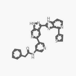 O=C(Cc1ccccc1)Nc1cncc(-c2cc3c(-c4nc5c(-c6ccsc6)nccc5[nH]4)n[nH]c3cn2)c1